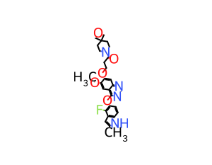 COc1cc2c(Oc3ccc4[nH]c(C)cc4c3F)ncnc2cc1OCCC(=O)N1CCC2(CC1)COC2